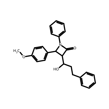 COc1ccc(C2C(C(O)CCc3ccccc3)C(=O)N2c2ccccc2)cc1